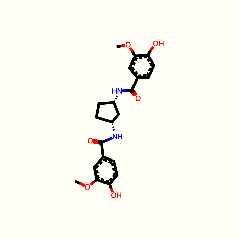 COc1cc(C(=O)N[C@@H]2CC[C@H](NC(=O)c3ccc(O)c(OC)c3)C2)ccc1O